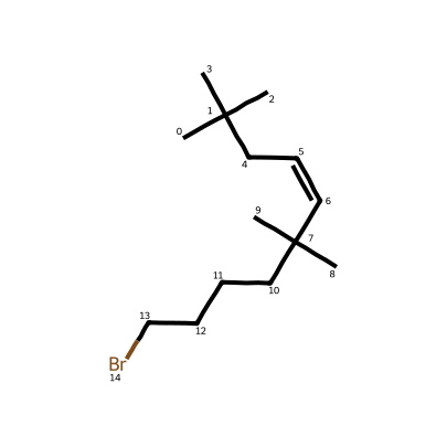 CC(C)(C)C/C=C\C(C)(C)CCCCBr